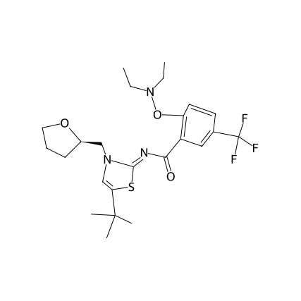 CCN(CC)Oc1ccc(C(F)(F)F)cc1C(=O)/N=c1\sc(C(C)(C)C)cn1C[C@H]1CCCO1